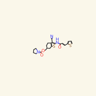 N#Cc1c(NC(=O)C=Cc2cccs2)sc2c1CCC(COC(=O)N1CCCC1)C2